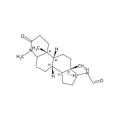 CN1C(=O)CC[C@@]2(C)C1CC[C@@H]1[C@H]2CC[C@]2(C)C(NC=O)CC[C@@H]12